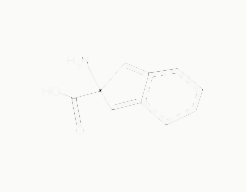 NC1(C(=O)O)C=c2ccccc2=C1